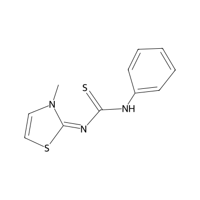 Cn1ccsc1=NC(=S)Nc1ccccc1